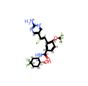 Nc1ncc(/C(F)=C/c2cc(C(=O)N[C@H]3CC(F)(F)CC[C@@H]3O)ccc2OC(F)F)cn1